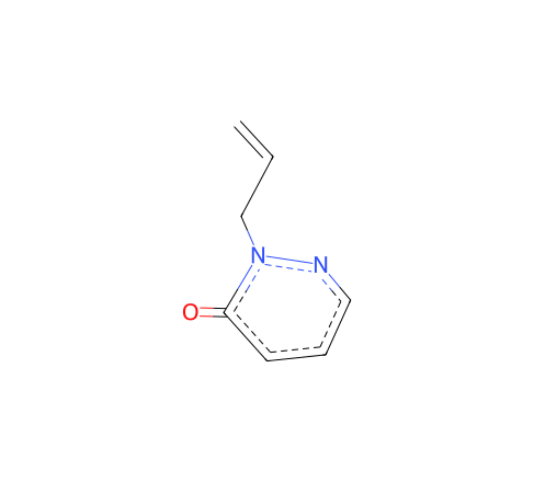 C=CCn1ncccc1=O